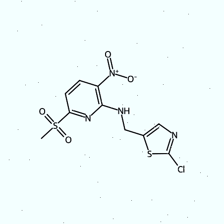 CS(=O)(=O)c1ccc([N+](=O)[O-])c(NCc2cnc(Cl)s2)n1